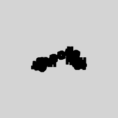 CC(C)[C@@H](C)C(=O)N1CCC[C@H]1c1ncc(-c2ccc(C3CCC(c4cnc([C@@H]5CCCN5C(=O)[C@H](NC(=O)OC(C)(C)C)C(C)C)[nH]4)CC3)cc2)[nH]1